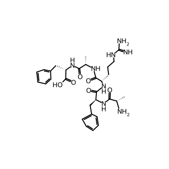 C[C@H](N)C(=O)N[C@@H](Cc1ccccc1)C(=O)N[C@@H](CCCNC(=N)N)C(=O)N[C@@H](C)C(=O)N[C@@H](Cc1ccccc1)C(=O)O